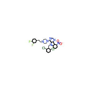 O=[N+]([O-])c1cccc2c1c1ncnc(N3CCN(CCc4ccc(F)c(F)c4)CC3)c1n2Cc1c(Cl)cccc1Cl